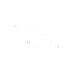 COc1ccc(OC(c2ccc(C(F)(F)F)cc2)C2CN(C)CCO2)cc1